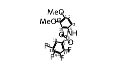 COc1ccc(NS(=O)(=O)c2cc(F)c(F)c(F)c2F)cc1OC